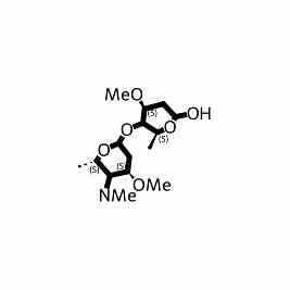 CNC1[C@H](C)OC(OC2[C@H](C)OC(O)C[C@@H]2OC)C[C@@H]1OC